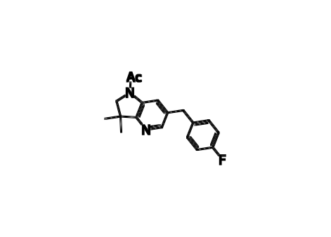 CC(=O)N1CC(C)(C)c2ncc(Cc3ccc(F)cc3)cc21